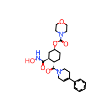 O=C(NO)[C@H]1C[C@@H](OC(=O)N2CCOCC2)CC[C@@H]1C(=O)N1CC=C(c2ccccc2)CC1